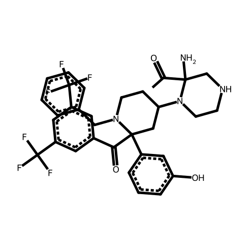 CC(=O)C1(N)CNCCN1C1CCN(Cc2ccccc2)C(C(=O)c2cc(C(F)(F)F)cc(C(F)(F)F)c2)(c2cccc(O)c2)C1